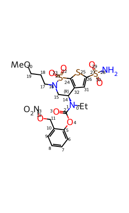 CCN(C(=O)Oc1ccccc1CO[N+](=O)[O-])[C@H]1CN(CCCOC)S(=O)(=O)c2sc(S(N)(=O)=O)cc21